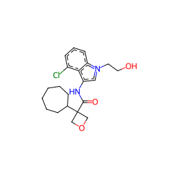 O=C(Nc1cn(CCO)c2cccc(Cl)c12)C1(C2CCCCCC2)COC1